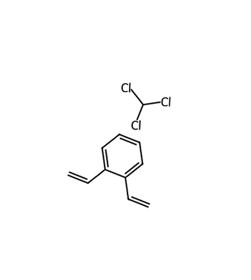 C=Cc1ccccc1C=C.ClC(Cl)Cl